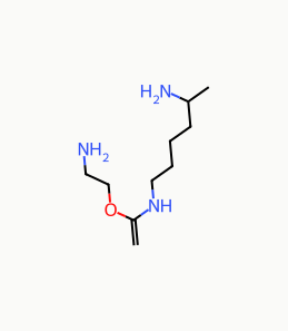 C=C(NCCCCC(C)N)OCCN